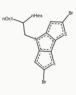 CCCCCCCCC(CCCCCC)Cn1c2cc(Br)sc2c2sc(Br)cc21